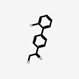 O=C(CCl)c1ccc(-c2ccccc2Cl)cc1